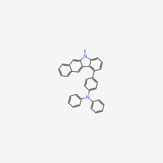 Cn1c2cc3ccccc3cc2c2c(-c3ccc(N(c4ccccc4)c4ccccc4)cc3)cccc21